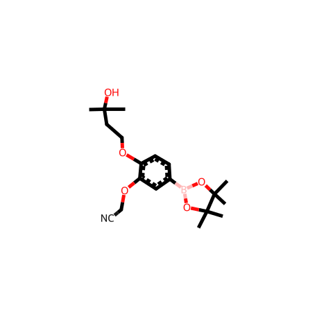 CC(C)(O)CCOc1ccc(B2OC(C)(C)C(C)(C)O2)cc1OCC#N